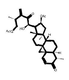 C=C(C(=O)[C@H](O)C1[C@@H](OC(C)=O)C[C@@]2(C)[C@@H]3CC[C@H]4[C@H](C)C(=O)C=C[C@@]45C[C@@]35CC[C@]12C)[C@@H](C)COC(C)=O